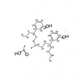 CC(=O)O.CCCCC(CCC)c1cccc(O)c1.CCCCC(CCC)c1cccc(O)c1